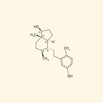 Cc1ccc(O)cc1CC[C@@H]1[C@@H](C)CC[C@]2(C)[C@@H](O)CC[C@@H]12